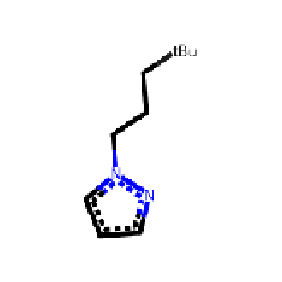 CC(C)(C)CCCn1cccn1